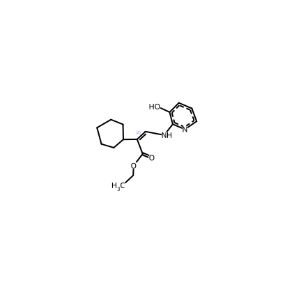 CCOC(=O)/C(=C\Nc1ncccc1O)C1CCCCC1